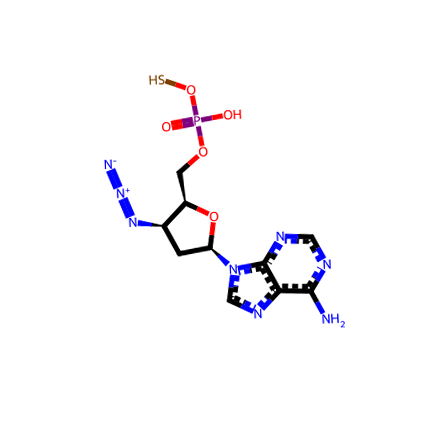 [N-]=[N+]=N[C@@H]1C[C@H](n2cnc3c(N)ncnc32)O[C@@H]1COP(=O)(O)OS